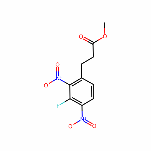 COC(=O)CCc1ccc([N+](=O)[O-])c(F)c1[N+](=O)[O-]